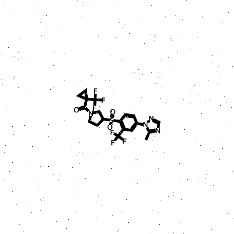 Cc1ncnn1-c1ccc(S(=O)(=O)C2CCN(C(=O)C3(C(F)(F)F)CC3)C2)c(C(F)(F)F)c1